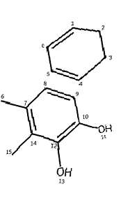 C1=CCCC=C1.Cc1ccc(O)c(O)c1C